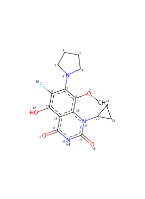 COc1c(N2CCCC2)c(F)c(O)c2c(=O)[nH]c(=O)n(C3CC3)c12